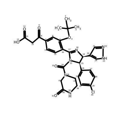 CC(C)(C)Oc1cc(C(=O)CC(=O)O)ccc1C1=N[C@@H](c2cn[nH]c2)[C@@H](c2ccc(Cl)cc2)N1C(=O)N1CCNC(=O)C1